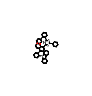 c1ccc(-c2nc(-c3ccccc3-c3ccccc3)nc(-c3ccc(-c4ccccc4-n4c5ccccc5c5ccccc54)c4ccccc34)n2)cc1